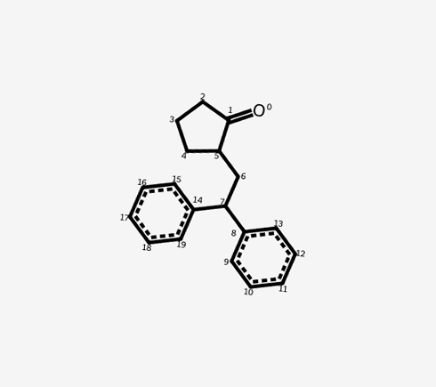 O=C1CCCC1CC(c1ccccc1)c1ccccc1